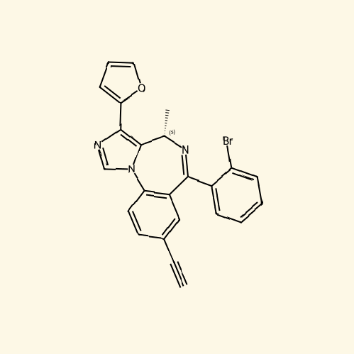 C#Cc1ccc2c(c1)C(c1ccccc1Br)=N[C@@H](C)c1c(-c3ccco3)ncn1-2